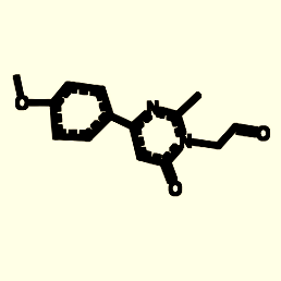 COc1ccc(-c2cc(=O)n(CC=O)c(C)n2)cc1